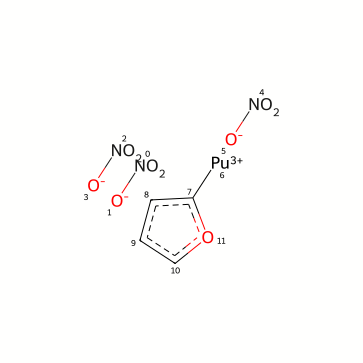 O=[N+]([O-])[O-].O=[N+]([O-])[O-].O=[N+]([O-])[O-].[Pu+3][c]1ccco1